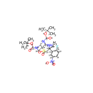 CC(C)(C)OC(=O)N=C1N[C@](C)(c2cc([N+](=O)[O-])ccc2F)CS(=O)(=O)C12CN(C(=O)OC(C)(C)C)C2